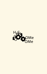 COc1ccc([C@]23CCN(C)[C@H]2CC2(CC3)OCCO2)cc1OC